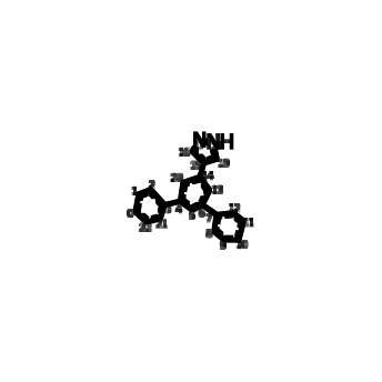 c1ccc(-c2cc(-c3ccccc3)cc(-c3cn[nH]c3)c2)cc1